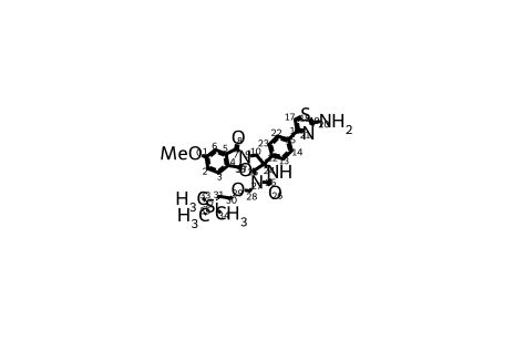 COc1ccc2c(c1)C(=O)N(CC1(c3ccc(-c4csc(N)n4)cc3)NC(=O)N(COCC[Si](C)(C)C)C1=O)C2